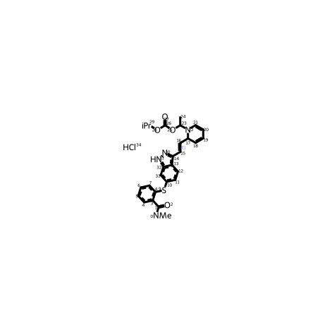 CNC(=O)c1ccccc1Sc1ccc2c(/C=C/C3C=CC=CN3C(C)OC(=O)OC(C)C)n[nH]c2c1.Cl